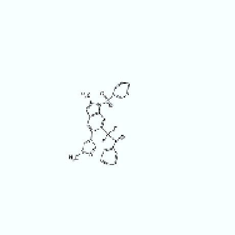 Cc1cc2cc(-c3cnn(C)c3)c(C(F)(F)C(=O)c3ccccc3)cc2n1S(=O)(=O)c1ccccc1